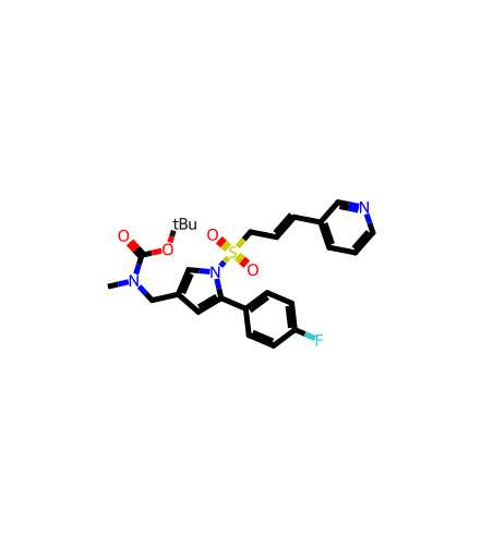 CN(Cc1cc(-c2ccc(F)cc2)n(S(=O)(=O)CC=Cc2cccnc2)c1)C(=O)OC(C)(C)C